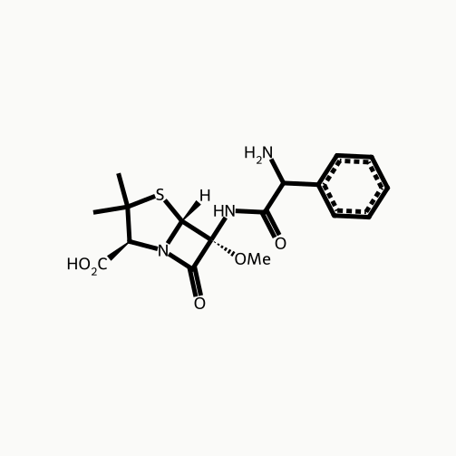 CO[C@]1(NC(=O)C(N)c2ccccc2)C(=O)N2[C@@H](C(=O)O)C(C)(C)S[C@@H]21